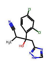 CC(C#N)C(O)(Cc1nc[nH]n1)c1ccc(Cl)cc1Cl